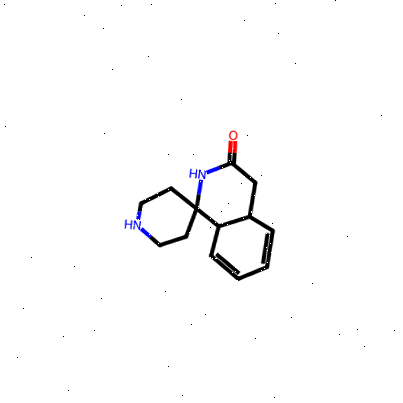 O=C1CC2C=CC=CC2C2(CCNCC2)N1